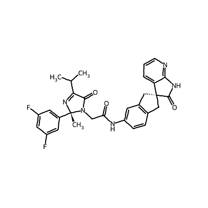 CC(C)C1=N[C@@](C)(c2cc(F)cc(F)c2)N(CC(=O)Nc2ccc3c(c2)C[C@@]2(C3)C(=O)Nc3ncccc32)C1=O